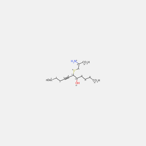 CCCCCCCCCCCCC#CC(SCC(N)C(=O)O)C(O)CCCC(=O)O